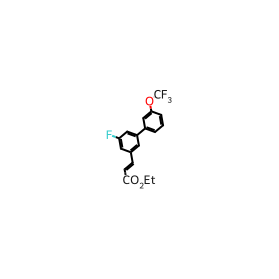 CCOC(=O)/C=C/c1cc(F)cc(-c2cccc(OC(F)(F)F)c2)c1